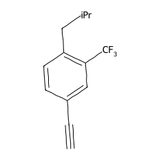 C#Cc1ccc(CC(C)C)c(C(F)(F)F)c1